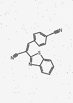 N#C/C(=C/c1ccc(C#N)cc1)c1nc2ccccc2s1